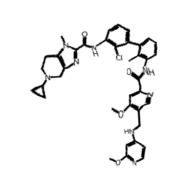 COc1cc(NCc2cnc(C(=O)Nc3cccc(-c4cccc(NC(=O)c5nc6c(n5C)CCN(C5CC5)C6)c4Cl)c3C)cc2OC)ccn1